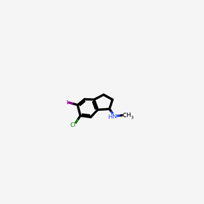 CNC1CCc2cc(I)c(Cl)cc21